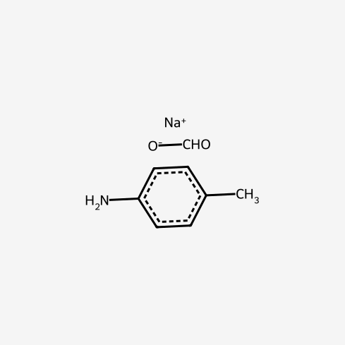 Cc1ccc(N)cc1.O=C[O-].[Na+]